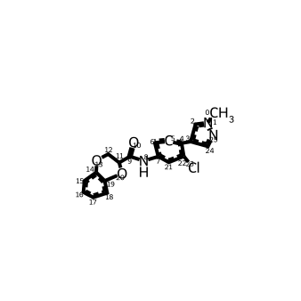 Cn1cc(-c2ccc(NC(=O)C3COc4ccccc4O3)cc2Cl)cn1